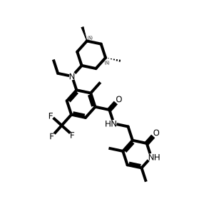 CCN(c1cc(C(F)(F)F)cc(C(=O)NCc2c(C)cc(C)[nH]c2=O)c1C)C1C[C@@H](C)C[C@H](C)C1